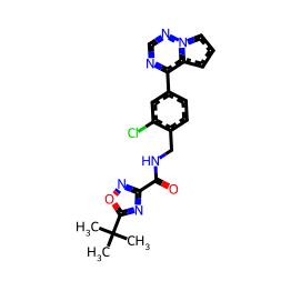 CC(C)(C)c1nc(C(=O)NCc2ccc(-c3ncnn4cccc34)cc2Cl)no1